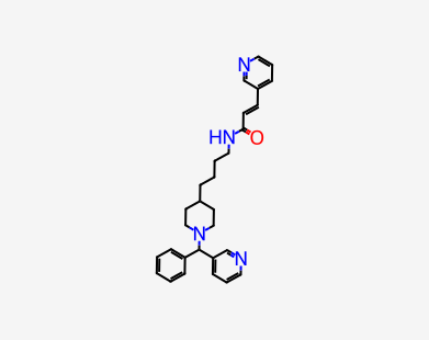 O=C(C=Cc1cccnc1)NCCCCC1CCN(C(c2ccccc2)c2cccnc2)CC1